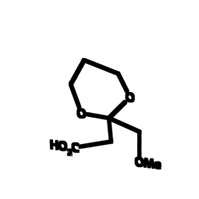 COCC1(CC(=O)O)OCCCO1